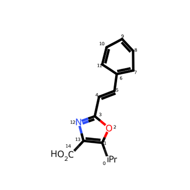 CC(C)c1oc(C=Cc2ccccc2)nc1C(=O)O